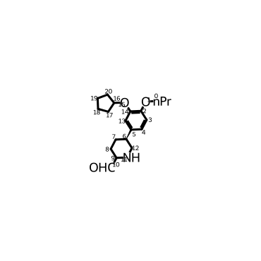 CCCOc1ccc([C@@H]2CCC(C=O)NC2)cc1OC1CCCC1